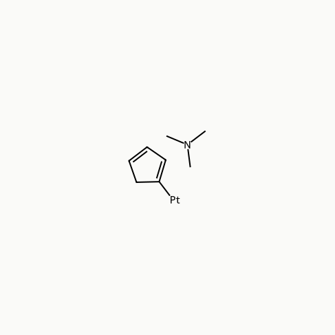 CN(C)C.[Pt][C]1=CC=CC1